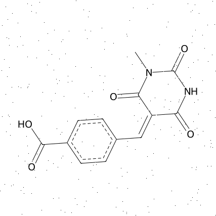 CN1C(=O)NC(=O)/C(=C/c2ccc(C(=O)O)cc2)C1=O